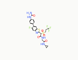 NC(=O)Nc1ccc(-c2cc3sc(C(C(=O)NCC(=O)NC4CC4)S(=O)(=O)CCC(F)(F)F)nc3cc2F)cc1